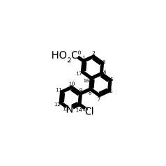 O=C(O)c1ccc2cccc(-c3cccnc3Cl)c2c1